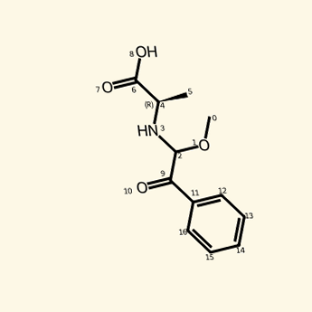 COC(N[C@H](C)C(=O)O)C(=O)c1ccccc1